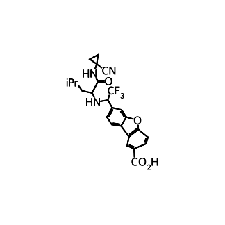 CC(C)CC(NC(c1ccc2c(c1)oc1ccc(C(=O)O)cc12)C(F)(F)F)C(=O)NC1(C#N)CC1